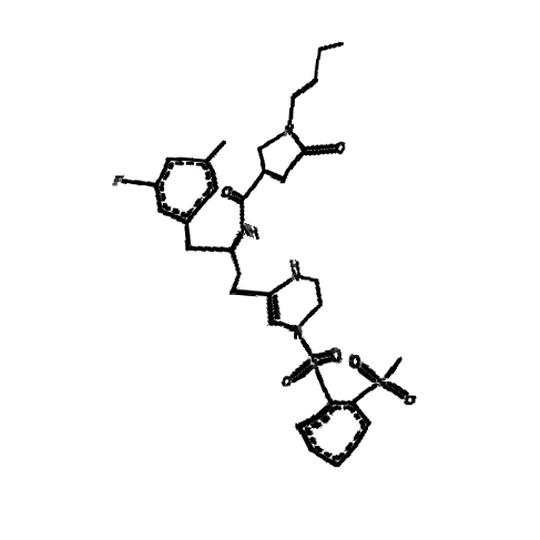 CCCCN1CC(C(=O)NC(CC2=CN(S(=O)(=O)c3ccccc3S(C)(=O)=O)CCN2)Cc2cc(C)cc(F)c2)CC1=O